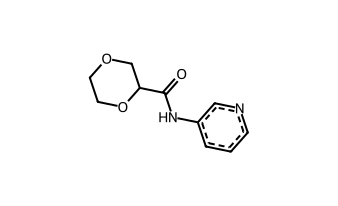 O=C(Nc1cccnc1)C1COCCO1